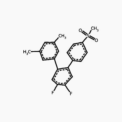 Cc1cc(C)cc(-c2cc(F)c(F)cc2-c2ccc(S(C)(=O)=O)cc2)c1